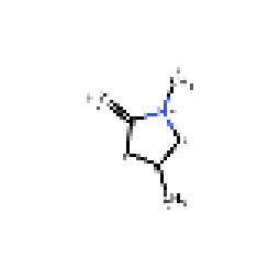 C=C1CC(C)CN1C